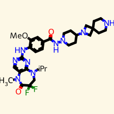 COc1cc(C(=O)NN2CCC(N3CC4(CCNCC4)C3)CC2)ccc1Nc1ncc2c(n1)N(C(C)C)CC(F)(F)C(=O)N2C